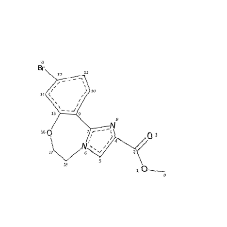 COC(=O)c1cn2c(n1)-c1ccc(Br)cc1OCC2